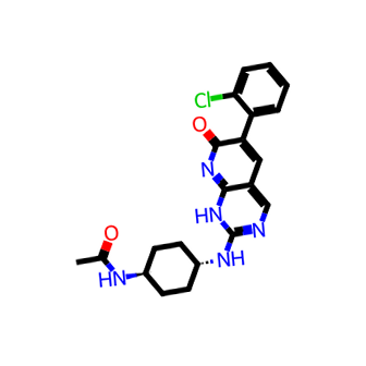 CC(=O)N[C@H]1CC[C@H](Nc2ncc3cc(-c4ccccc4Cl)c(=O)nc-3[nH]2)CC1